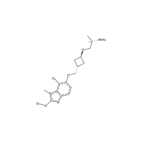 CCOc1nc2ccc(OC[C@H]3C[C@H](OC[C@H](C)NC(C)=O)C3)c(Cl)c2n1C